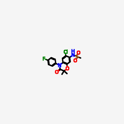 CC1(C)Oc2cc(NS(C)(=O)=O)c(Cl)cc2N(c2ccc(F)cc2)C1=O